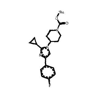 CC(C)(C)OC(=O)N1CCC(n2cc(-c3ccc(F)cc3)nc2C2CC2)CC1